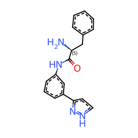 N[C@@H](Cc1ccccc1)C(=O)Nc1cccc(-c2cc[nH]n2)c1